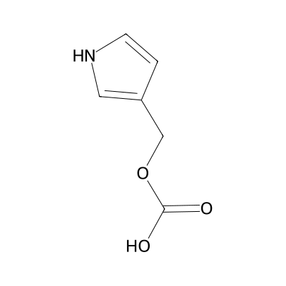 O=C(O)OCc1cc[nH]c1